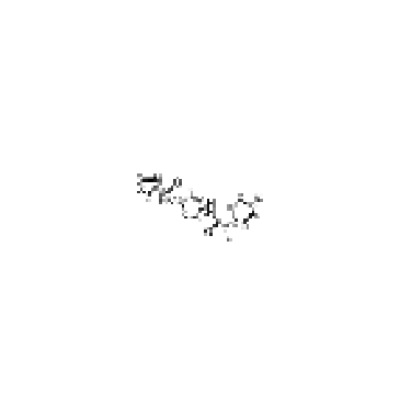 CC(C(=O)Nc1ccc(NC(=O)c2cscn2)nc1)c1ccc(Cl)cc1